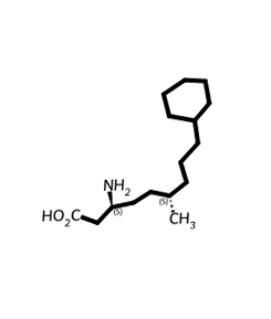 C[C@@H](CCCC1CCCCC1)CC[C@H](N)CC(=O)O